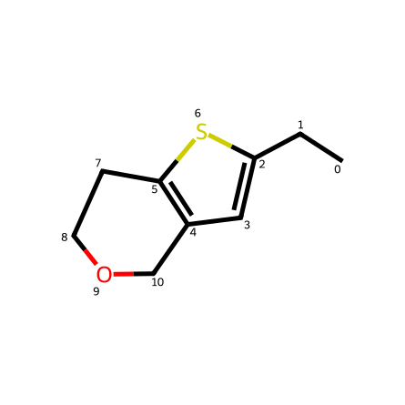 CCc1cc2c(s1)CCOC2